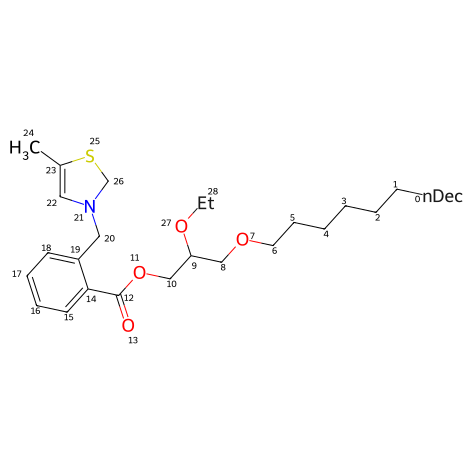 CCCCCCCCCCCCCCCCOCC(COC(=O)c1ccccc1CN1C=C(C)SC1)OCC